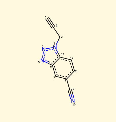 C#CCn1nnc2cc(C#N)ccc21